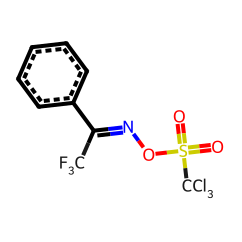 O=S(=O)(ON=C(c1ccccc1)C(F)(F)F)C(Cl)(Cl)Cl